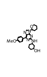 COc1ccc(-c2nc(NC3CCCC(O)C3)nc3c2ncn3[C@@H]2CCCCO2)cc1